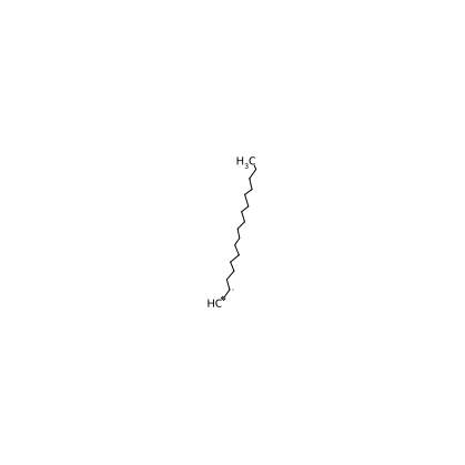 C#C[CH]CCCCCCCCCCCCCCC